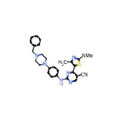 CNc1nc(C)c(-c2nc(Nc3ccc(N4CCN(Cc5ccccc5)CC4)cc3)ncc2C#N)s1